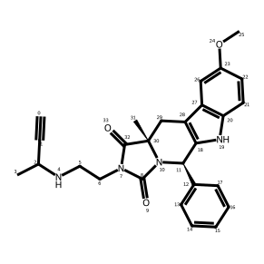 C#CC(C)NCCN1C(=O)N2[C@H](c3ccccc3)c3[nH]c4ccc(OC)cc4c3C[C@@]2(C)C1=O